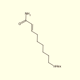 CCCCCCCCCCCCC=CC(N)=O